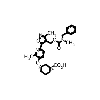 Cc1nc(-c2onc(C)c2COC(=O)N(C)Cc2ccccc2)ccc1O[C@H]1CCC[C@H](C(=O)O)C1